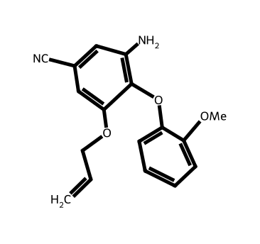 C=CCOc1cc(C#N)cc(N)c1Oc1ccccc1OC